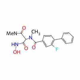 CNC(=O)C(C(=O)NO)N(C)C(=O)c1ccc(-c2ccccc2)c(F)c1